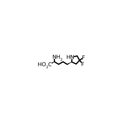 N[C@@H](CCC[C@@H]1CC(F)(F)CN1)C(=O)O